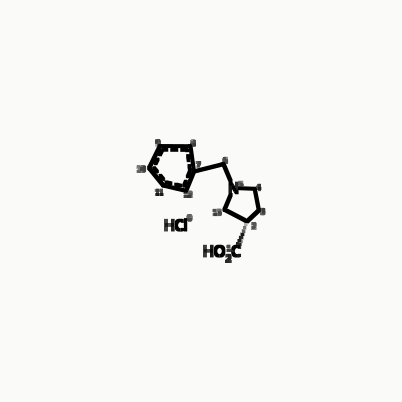 Cl.O=C(O)[C@H]1CCN(Cc2ccccc2)C1